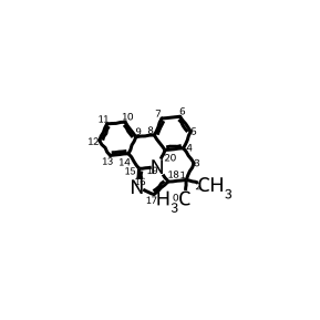 CC1(C)Cc2cccc3c4ccccc4c4ncc1n4c23